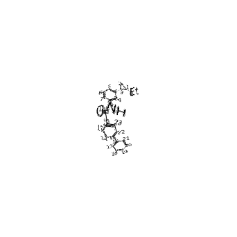 CC[C@H]1C[C@H]1c1cccc(NC(=O)c2ccc(-c3ccccc3)cc2)c1